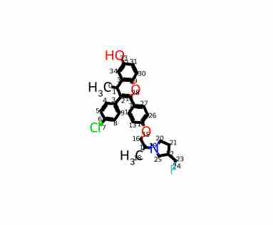 CC1C(c2ccc(Cl)cc2)=C(c2ccc(OC[C@H](C)N3CCC(CF)C3)cc2)Oc2ccc(O)cc21